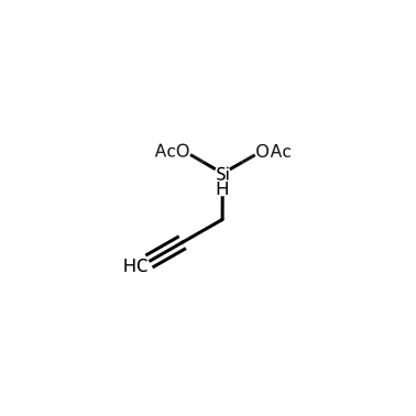 C#CC[SiH](OC(C)=O)OC(C)=O